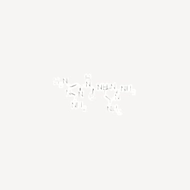 Nc1cc(NC(=O)Nc2cc(N)nc(N)n2)nc(N)n1